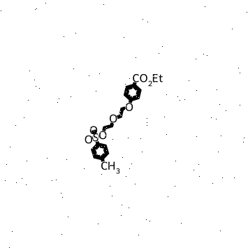 CCOC(=O)c1ccc(OCCOCCOS(=O)(=O)c2ccc(C)cc2)cc1